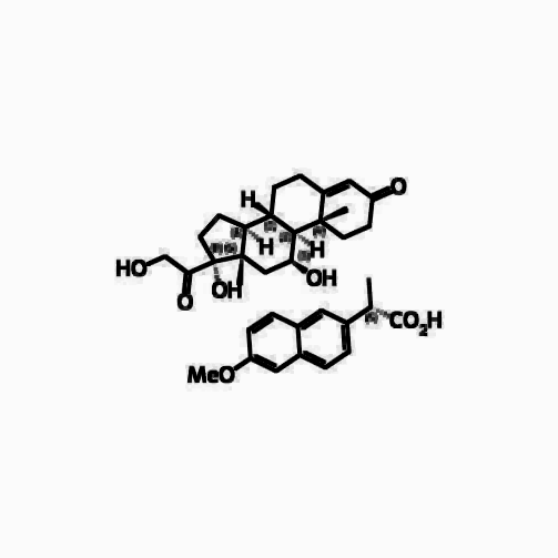 COc1ccc2cc([C@H](C)C(=O)O)ccc2c1.C[C@]12CCC(=O)C=C1CC[C@@H]1[C@@H]2[C@@H](O)C[C@@]2(C)[C@H]1CC[C@]2(O)C(=O)CO